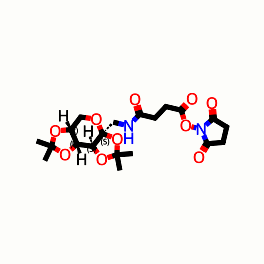 CC1(C)O[C@@H]2[C@@H](CO[C@@]3(CNC(=O)CCC(=O)ON4C(=O)CCC4=O)OC(C)(C)O[C@@H]23)O1